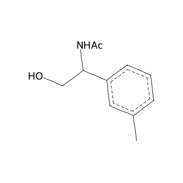 CC(=O)NC(CO)c1cccc(C)c1